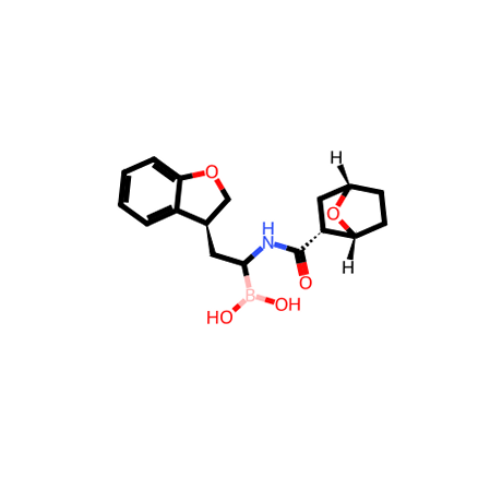 O=C(NC(C[C@@H]1COc2ccccc21)B(O)O)[C@@H]1C[C@@H]2CC[C@H]1O2